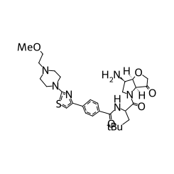 COCCN1CCN(c2nc(-c3ccc(C(=O)NC(CC(C)(C)C)C(=O)N4C[C@@H](N)[C@H]5OCC(=O)[C@H]54)cc3)cs2)CC1